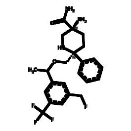 CC(OC[C@@]1(c2ccccc2)CC[C@@](N)(C(N)=O)CN1)c1cc(CF)cc(C(F)(F)F)c1